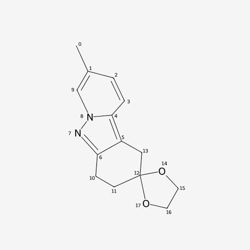 Cc1ccc2c3c(nn2c1)CCC1(C3)OCCO1